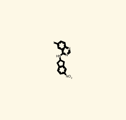 O=[N+]([O-])c1ccc2c(c1)CC(Nc1ncnc3ccc(I)cc13)C2